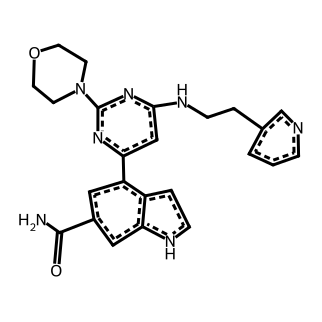 NC(=O)c1cc(-c2cc(NCCc3cccnc3)nc(N3CCOCC3)n2)c2cc[nH]c2c1